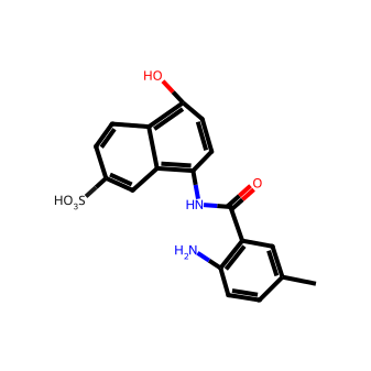 Cc1ccc(N)c(C(=O)Nc2ccc(O)c3ccc(S(=O)(=O)O)cc23)c1